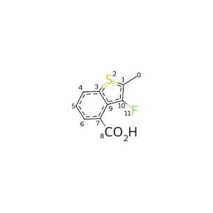 Cc1sc2cccc(C(=O)O)c2c1F